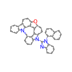 c1ccc2c(-n3c(-n4c5ccc6oc7ccc8c9ccccc9n9c%10cccc4c%10c5c6c7c89)nc4ccccc43)cccc2c1